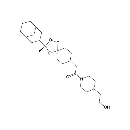 C[C@@]1(C2CC3CCCC(C3)C2)OO[C@]2(CC[C@@H](CC(=O)N3CCN(CCO)CC3)CC2)O1